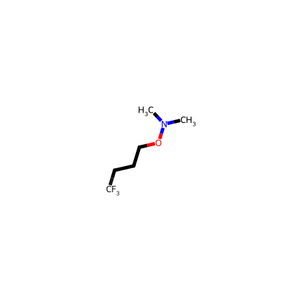 CN(C)OCCCC(F)(F)F